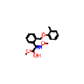 CO/N=C(\c1ccccc1COc1ccccc1C)C(O)OC